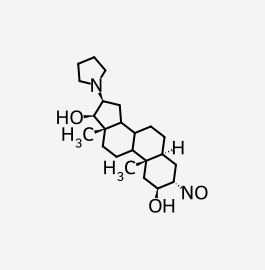 C[C@]12CCC3C(CC[C@H]4C[C@H](N=O)[C@@H](O)C[C@]34C)C1C[C@H](N1CCCC1)[C@@H]2O